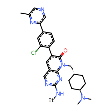 CCNc1ncc2cc(-c3ccc(-c4cncc(C)n4)cc3Cl)c(=O)n(C[C@H]3CC[C@H](N(C)C)CC3)c2n1